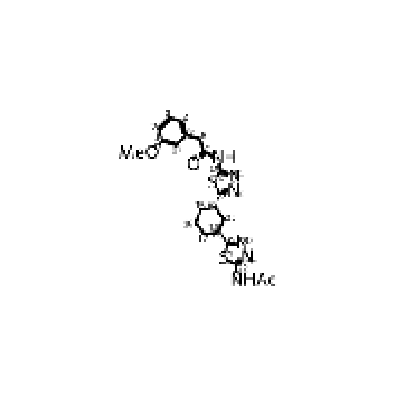 COc1cccc(CC(=O)Nc2nnc([C@H]3CCC[C@H](c4nnc(NC(C)=O)s4)C3)s2)c1